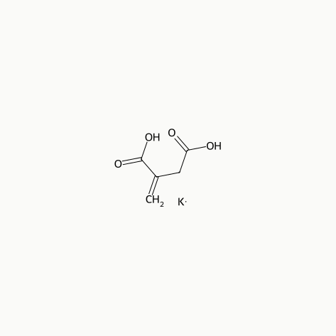 C=C(CC(=O)O)C(=O)O.[K]